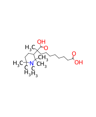 CN1C(C)(C)CCC(C(C)(CCCCCCCC(=O)O)C(=O)O)C1(C)C